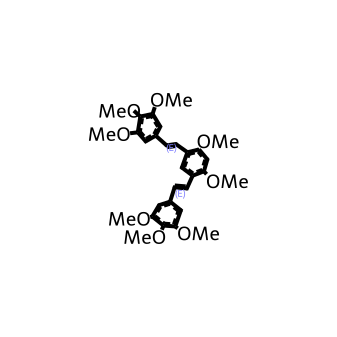 COc1cc(OC)c(/C=C/c2cc(OC)c(OC)c(OC)c2)cc1/C=C/c1cc(OC)c(OC)c(OC)c1